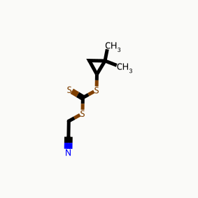 CC1(C)CC1SC(=S)SCC#N